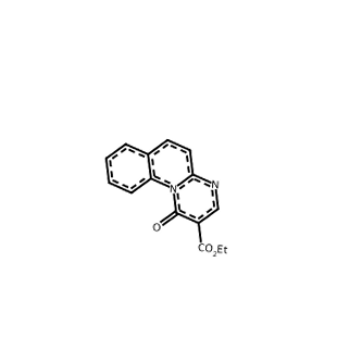 CCOC(=O)c1cnc2ccc3ccccc3n2c1=O